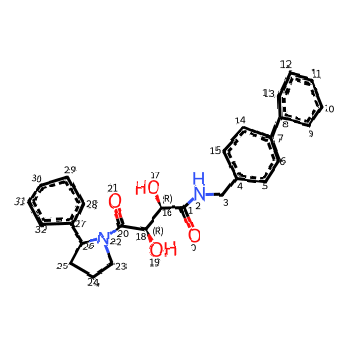 O=C(NCc1ccc(-c2ccccc2)cc1)[C@H](O)[C@@H](O)C(=O)N1CCCC1c1ccccc1